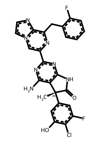 C[C@]1(c2cc(O)c(Cl)c(F)c2)C(=O)Nc2nc(-c3cn4ccnc4c(Cc4ccccc4F)n3)nc(N)c21